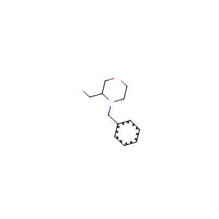 N#CCC1COCCN1Cc1ccccc1